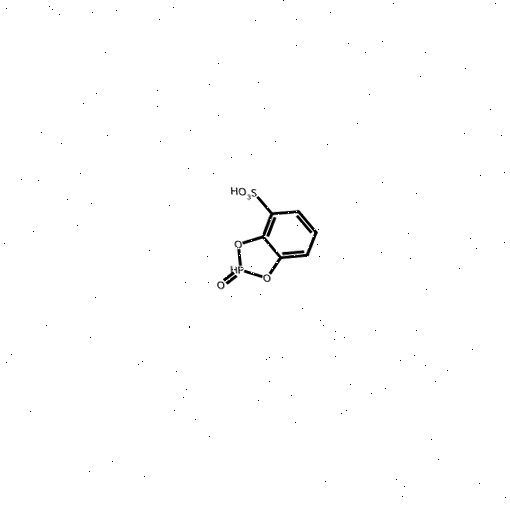 O=[PH]1Oc2cccc(S(=O)(=O)O)c2O1